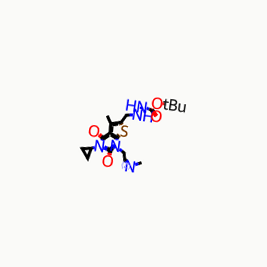 C/N=C\Cn1c(=O)n(C2CC2)c(=O)c2c(C)c(CNNC(=O)OC(C)(C)C)sc21